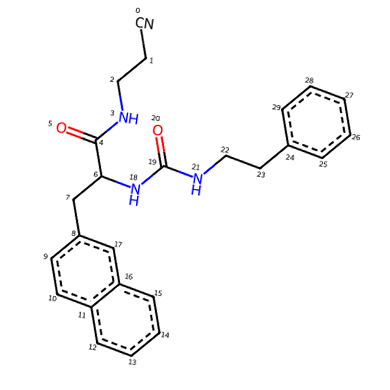 N#CCCNC(=O)C(Cc1ccc2ccccc2c1)NC(=O)NCCc1ccccc1